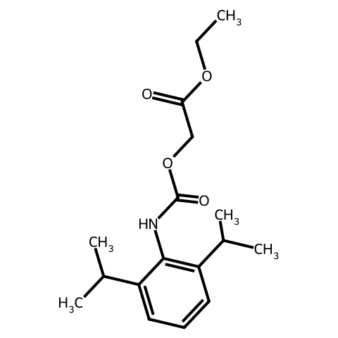 CCOC(=O)COC(=O)Nc1c(C(C)C)cccc1C(C)C